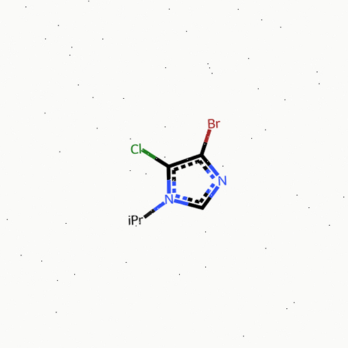 CC(C)n1cnc(Br)c1Cl